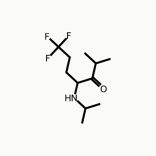 CC(C)NC(CCC(F)(F)F)C(=O)C(C)C